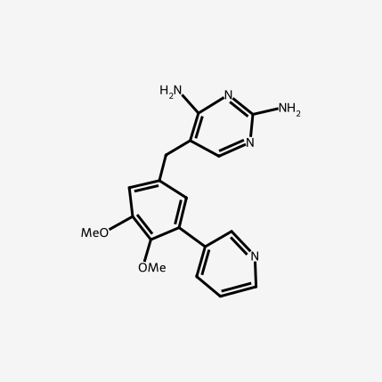 COc1cc(Cc2cnc(N)nc2N)cc(-c2cccnc2)c1OC